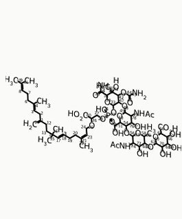 C=C(C/C=C(\C)CCC=C(C)C)CCC(C)(C)/C=C/CC/C(C)=C\COC(COP(=O)(O)OC1OC(C(N)=O)C(C)(O)C(OC(N)=O)C1OC1OC(CO)C(OC2OC(C)C(OC3OC(C(=O)O)C(O)C(O)C3O)C(O)C2NC(C)=O)C(O)C1NC(C)=O)C(=O)O